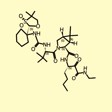 CCCC[C@H](NC(=O)[C@@H]1[C@@H]2[C@H](CN1C(=O)[C@@H](NC(=O)NC1([C@H]3OCC(C)(C)S3(=O)=O)CCCCC1)C(C)(C)C)C2(C)C)C(=O)C(=O)NCC